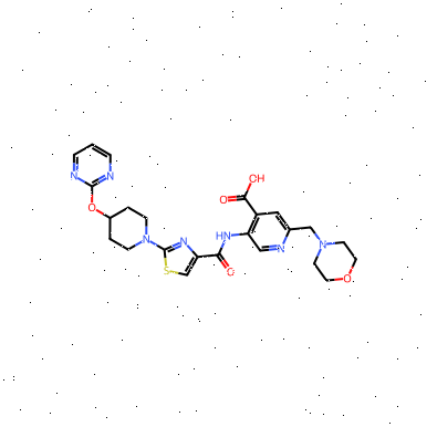 O=C(Nc1cnc(CN2CCOCC2)cc1C(=O)O)c1csc(N2CCC(Oc3ncccn3)CC2)n1